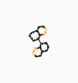 c1cc(-c2cccc3ccppc23)c2ppccc2c1